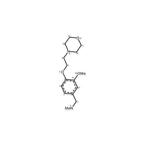 CNCc1ccc(OCCN2CCOCC2)c(OC)c1